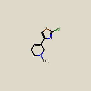 CN1CCC=C(c2csc(Cl)n2)C1